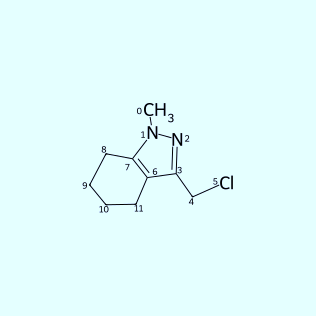 Cn1nc(CCl)c2c1CCCC2